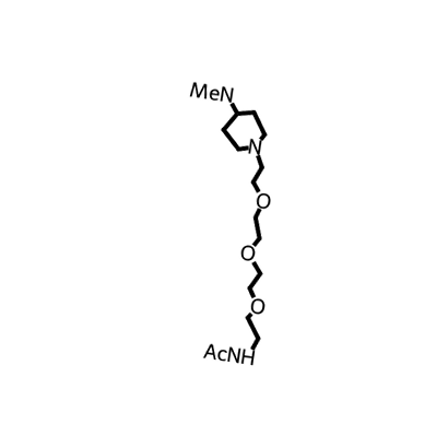 CNC1CCN(CCOCCOCCOCCNC(C)=O)CC1